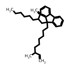 C=CC(C)CCCCCCC1(CC(C=C)CCCCCC)c2ccccc2-c2ccccc21